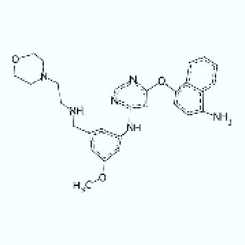 COc1cc(CNCCN2CCOCC2)cc(Nc2cc(Oc3ccc(N)c4ccccc34)ncn2)c1